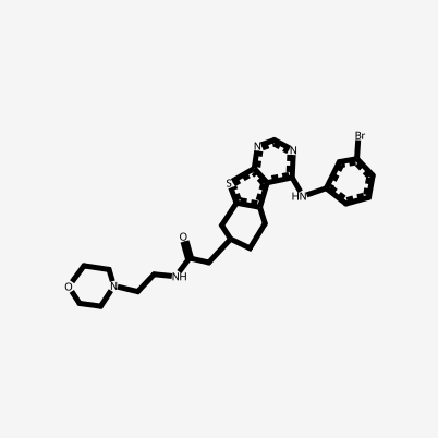 O=C(CC1CCc2c(sc3ncnc(Nc4cccc(Br)c4)c23)C1)NCCN1CCOCC1